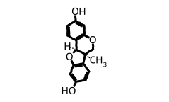 C[C@@]12COc3cc(O)ccc3[C@@H]1Oc1cc(O)ccc12